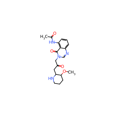 COC1CCCNC1CC(=O)Cn1cnc2cccc(NC(C)=O)c2c1=O